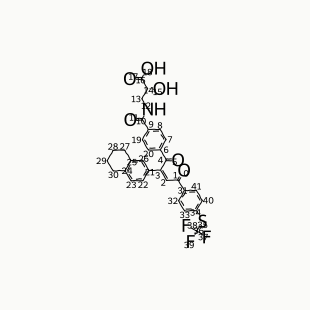 O=C(/C=C(\C(=O)c1ccc(C(=O)NC[C@@H](O)C(=O)O)cc1)c1ccc2c(c1)CCCC2)c1ccc(SC(F)(F)F)cc1